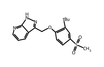 CC(C)(C)c1cc(S(C)(=O)=O)ccc1OCc1n[nH]c2ncccc12